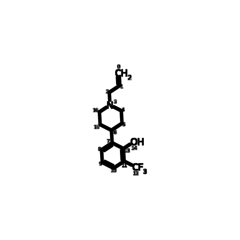 C=CCN1CCC(c2cccc(C(F)(F)F)c2O)CC1